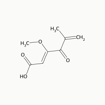 C=C(C)C(=O)C(=CC(=O)O)OC